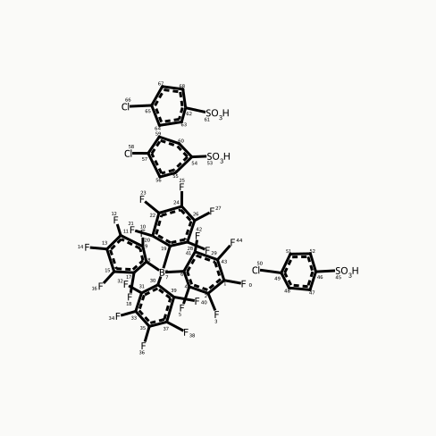 Fc1c(F)c(F)c([B-](c2c(F)c(F)c(F)c(F)c2F)(c2c(F)c(F)c(F)c(F)c2F)c2c(F)c(F)c(F)c(F)c2F)c(F)c1F.O=S(=O)(O)c1ccc(Cl)cc1.O=S(=O)(O)c1ccc(Cl)cc1.O=S(=O)(O)c1ccc(Cl)cc1